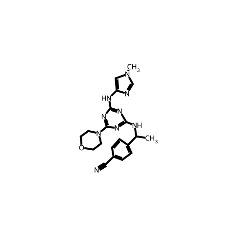 CC(Nc1nc(Nc2cn(C)cn2)nc(N2CCOCC2)n1)c1ccc(C#N)cc1